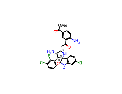 COC(=O)c1ccc(N)c(C(=O)C[C@@H]2N[C@@]3(C(=O)Nc4cc(Cl)ccc43)[C@@H](c3cccc(Cl)c3F)[C@@H]2N)c1